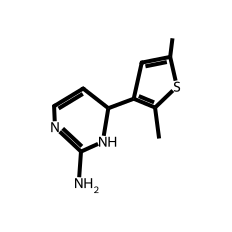 Cc1cc(C2C=CN=C(N)N2)c(C)s1